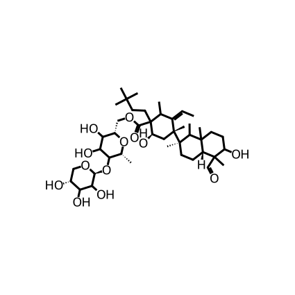 C/C=C1/C(C)C(CCC(C)(C)C)(C(=O)OC[C@@H]2O[C@H](C)C(O[C@@H]3OC[C@@H](O)C(O)C3O)C(O)C2O)[C@H](O)C[C@@]1(C)[C@]1(C)CC[C@H]2C(C)(C=O)C(O)CCC2(C)C1C